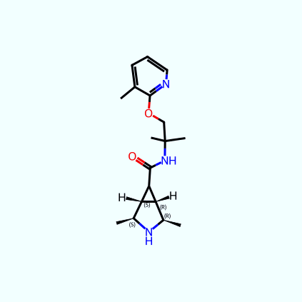 Cc1cccnc1OCC(C)(C)NC(=O)C1[C@@H]2[C@H]1[C@@H](C)N[C@H]2C